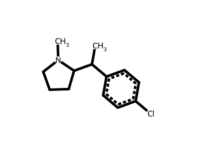 CC(c1ccc(Cl)cc1)C1CCCN1C